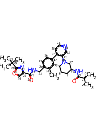 C=C(C)C(=O)NC1CCCN(c2cnccc2-c2ccc(CNC(=O)c3coc(C(C)(C)C)n3)c(C)c2)C1